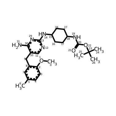 COc1ccc(C)cc1Cc1cnc(NC2CCC(NC(=O)OC(C)(C)C)CC2)nc1N